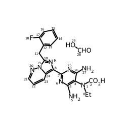 CCN(C(=O)O)c1c(N)nc(-c2nc(Cc3ccccc3F)n3ncccc23)nc1N.O=CO